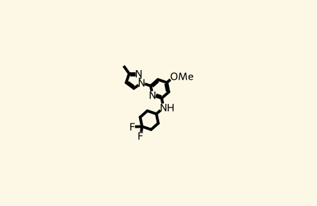 COc1cc(NC2CCC(F)(F)CC2)nc(-n2ccc(C)n2)c1